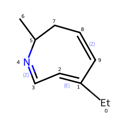 CCC1=C\C=N/C(C)C/C=C\1